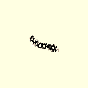 O=C(CC1CCOC1)NC1CCC2(CC1)CCN(c1nc3cc(Cl)ccc3o1)CC2